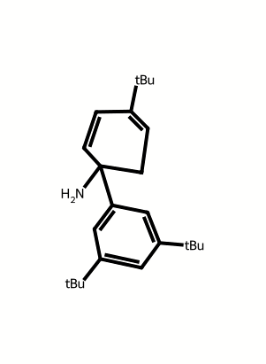 CC(C)(C)C1=CCC(N)(c2cc(C(C)(C)C)cc(C(C)(C)C)c2)C=C1